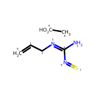 C=CCN=C(N)N=S.CC(=O)O